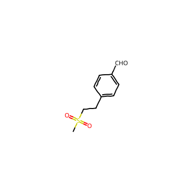 CS(=O)(=O)CCc1ccc(C=O)cc1